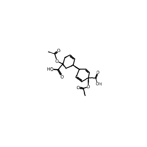 CC(=O)OC1(C(=O)O)C=CC(C2C=CCC(OC(C)=O)(C(=O)O)C2)C=C1